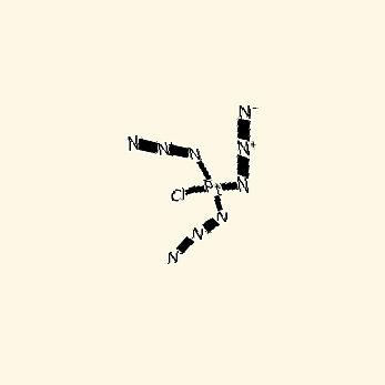 [N-]=[N+]=[N][Pt]([Cl])([N]=[N+]=[N-])[N]=[N+]=[N-]